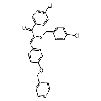 O=C(C(=Cc1ccc(OCc2ccccc2)cc1)SCc1ccc(Cl)cc1)c1ccc(Cl)cc1